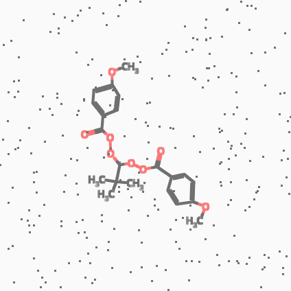 [CH2]C(C)(C)[C](OOC(=O)c1ccc(OC)cc1)OOC(=O)c1ccc(OC)cc1